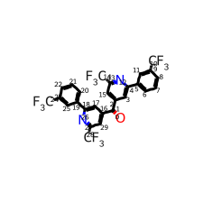 O=C(c1cc(-c2cccc(C(F)(F)F)c2)nc(C(F)(F)F)c1)c1cc(-c2cccc(C(F)(F)F)c2)nc(C(F)(F)F)c1